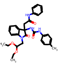 CCOC(CN1C(=O)C(CC(=O)Nc2ccccc2)(NC(=O)Nc2ccc(C)cc2)c2ccccc21)OCC